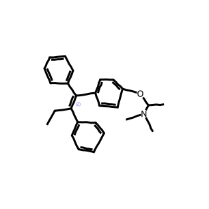 CC/C(=C(\c1ccccc1)c1ccc(OC(C)N(C)C)cc1)c1ccccc1